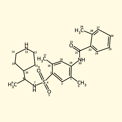 Cc1cc(S(=O)(=O)NC(C)C2CCNCC2)c(C)cc1NC(=O)c1ccccc1C